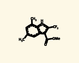 COC(=O)c1c(C(F)(F)F)[nH]c2c(C)cc(C)cc12